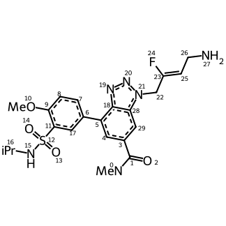 CNC(=O)c1cc(-c2ccc(OC)c(S(=O)(=O)NC(C)C)c2)c2nnn(C/C(F)=C/CN)c2c1